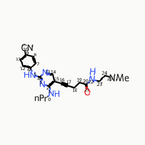 CCCNc1nc(Nc2ccc(C#N)cc2)ncc1C#CCCC(=O)NCCNC